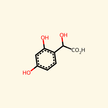 O=C(O)C(O)c1ccc(O)cc1O